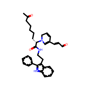 CC(=O)CCCCC[C@@H](C(=O)NCCc1c(-c2ccccc2)[nH]c2ccccc12)N1C=C(/C=C/[C]=O)C=CC1